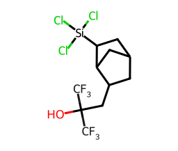 OC(CC1CC2CC1C([Si](Cl)(Cl)Cl)C2)(C(F)(F)F)C(F)(F)F